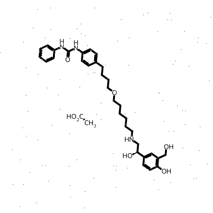 CC(=O)O.O=C(Nc1ccccc1)Nc1ccc(CCCCOCCCCCCNC[C@H](O)c2ccc(O)c(CO)c2)cc1